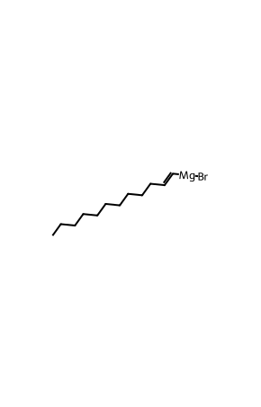 CCCCCCCCCCC=[CH][Mg][Br]